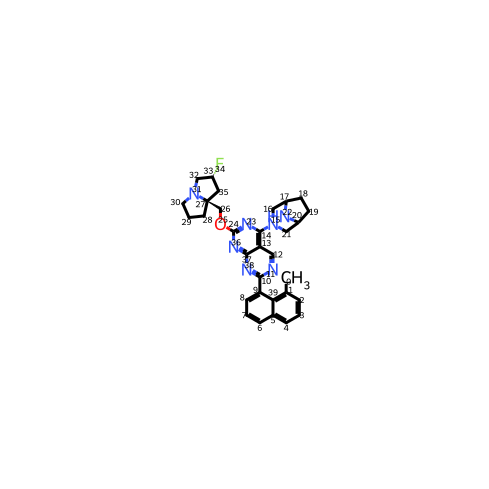 Cc1cccc2cccc(-c3ncc4c(N5CC6CCC(C5)N6)nc(OC[C@@]56CCCN5C[C@H](F)C6)nc4n3)c12